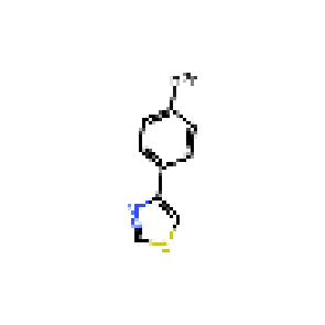 CCCc1ccc(-c2cs[c]n2)cc1